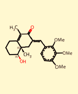 COc1ccc(C=C2C[C@@]3(C)C(=C(C)C2=O)CCC[C@@H]3O)c(OC)c1OC